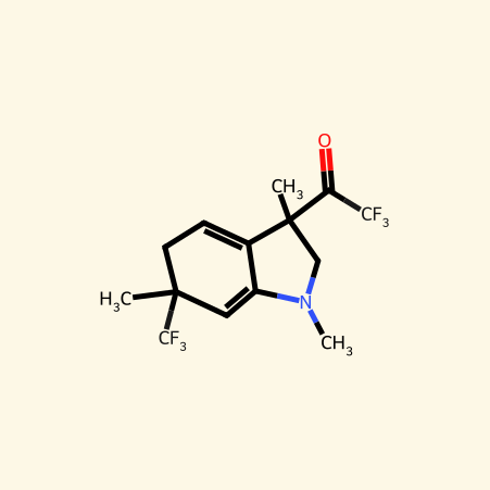 CN1CC(C)(C(=O)C(F)(F)F)C2=CCC(C)(C(F)(F)F)C=C21